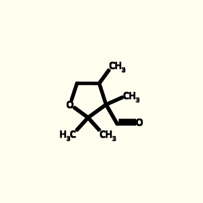 CC1COC(C)(C)C1(C)C=O